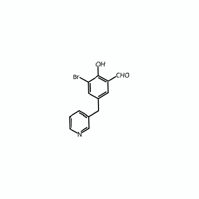 O=Cc1cc(Cc2cccnc2)cc(Br)c1O